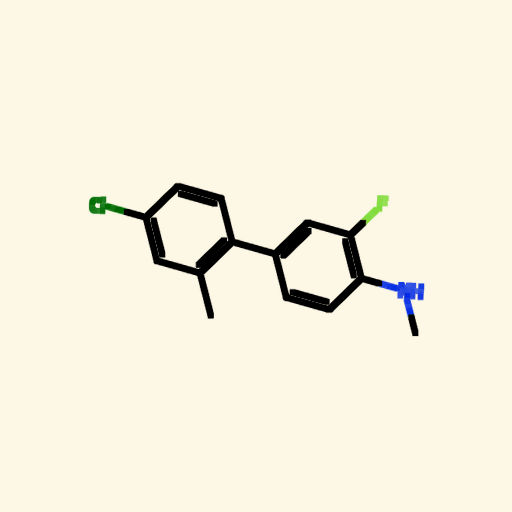 CNc1ccc(-c2ccc(Cl)cc2C)cc1F